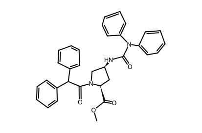 COC(=O)[C@@H]1C[C@H](NC(=O)N(c2ccccc2)c2ccccc2)CN1C(=O)C(c1ccccc1)c1ccccc1